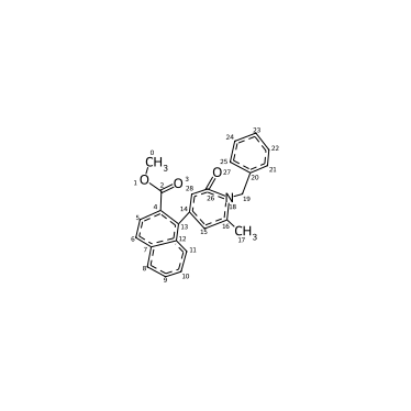 COC(=O)c1ccc2ccccc2c1-c1cc(C)n(Cc2ccccc2)c(=O)c1